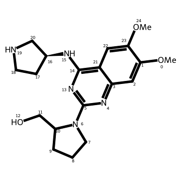 COc1cc2nc(N3CCCC3CO)nc(N[C@H]3CCNC3)c2cc1OC